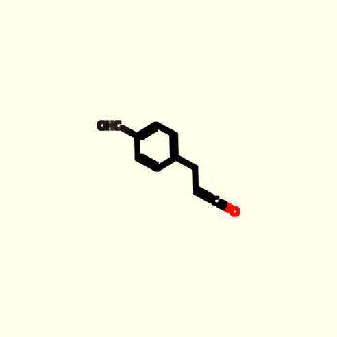 O=C=CCc1ccc(C=O)cc1